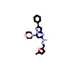 Cc1ccc(/C=N/Nc2cc(N3CCOCC3)n3nc(-c4ccccc4)cc3n2)o1